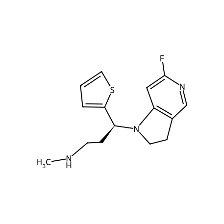 CNCC[C@@H](c1cccs1)N1CCc2cnc(F)cc21